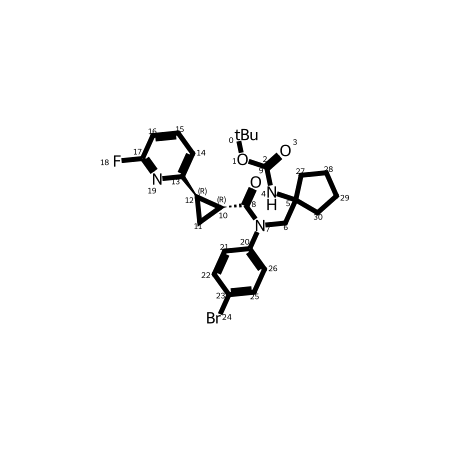 CC(C)(C)OC(=O)NC1(CN(C(=O)[C@@H]2C[C@H]2c2cccc(F)n2)c2ccc(Br)cc2)CCCC1